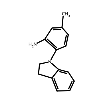 Cc1ccc(N2CCc3ccccc32)c(N)c1